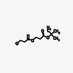 CC(C)(C)OC(=O)CCONCC[O]